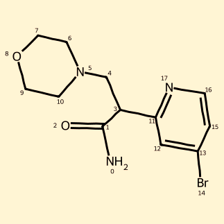 NC(=O)C(CN1CCOCC1)c1cc(Br)ccn1